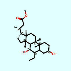 CC[C@@H]1C2C[C@H](O)CC[C@@]2(C)[C@H]2CCC3(C)[C@@H]([C@H](C)CC(=O)OC)CC[C@H]3C2[C@@H]1O